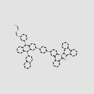 C/C=C\C=C/c1cccc(-c2c3ccccc3c(-c3ccc4ccccc4c3)c3cc(-c4ccc(-c5ccc6c(c5)c5ccccc5c5nc7c8ccccc8c8ccccc8c7n65)cc4)ccc23)c1